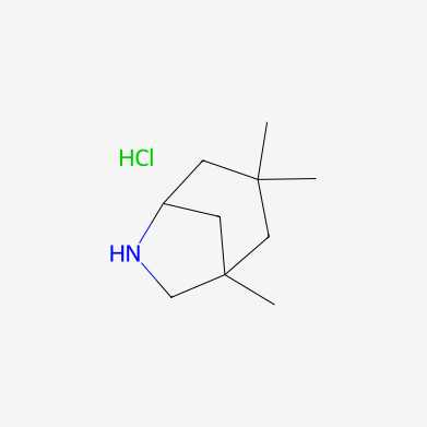 CC1(C)CC2CC(C)(CN2)C1.Cl